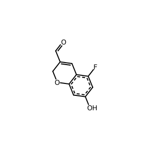 O=CC1=Cc2c(F)cc(O)cc2OC1